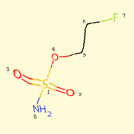 NS(=O)(=O)OCCF